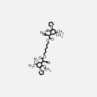 COC1=C(N2CCCC2)CC(C)(C)C/C1=C(/C#N)C(=O)OCCCCCCOC(=O)/C(C#N)=C1\CC(C)(C)CC(N2CCCC2)=C1OC